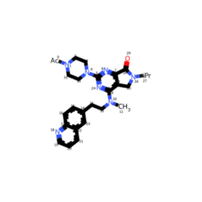 CC(=O)N1CCN(c2nc3c(c(N(C)CCc4ccc5ncccc5c4)n2)CN(C(C)C)C3=O)CC1